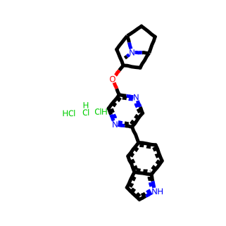 CN1C2CCC1CC(Oc1cnc(-c3ccc4[nH]ccc4c3)cn1)C2.Cl.Cl.Cl